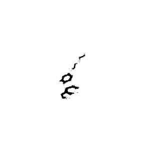 O=C(CNCCO)Nc1ccc(Oc2ccnc3[nH]ccc23)c(F)c1